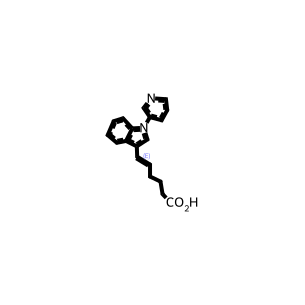 O=C(O)CCC/C=C/c1cn(-c2cccnc2)c2ccccc12